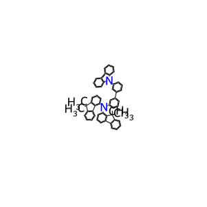 CC1(C)c2ccccc2-c2c(N(c3cccc(-c4cccc(-n5c6ccccc6c6ccccc65)c4)c3)c3cccc4c3C(C)(C)c3ccccc3-4)cccc21